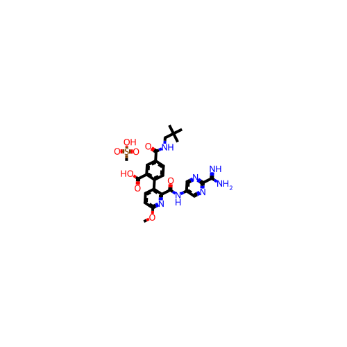 COc1ccc(-c2ccc(C(=O)NCC(C)(C)C)cc2C(=O)O)c(C(=O)Nc2cnc(C(=N)N)nc2)n1.CS(=O)(=O)O